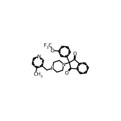 Cc1ccncc1CN1CCN(C2(c3cccc(OC(F)(F)F)c3)C(=O)c3ccccc3C2=O)CC1